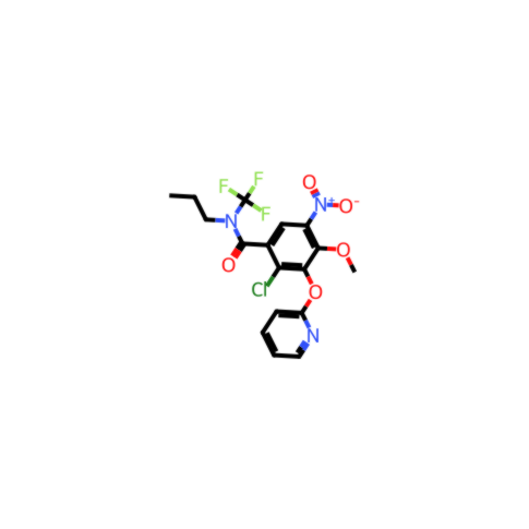 CCCN(C(=O)c1cc([N+](=O)[O-])c(OC)c(Oc2ccccn2)c1Cl)C(F)(F)F